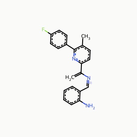 C=C(/N=C\c1ccccc1N)c1ccc(C)c(-c2ccc(F)cc2)n1